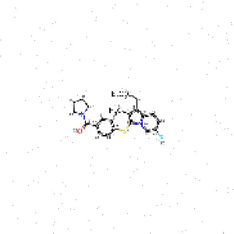 CCOC(=O)Cc1c(C)c(Sc2ccc(C(=O)N3CCCC3)cc2)n2cc(F)ccc12